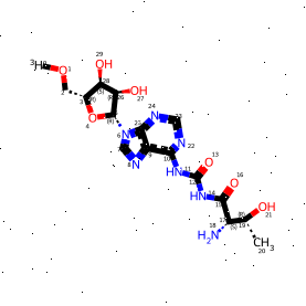 [3H]OC[C@H]1O[C@@H](n2cnc3c(NC(=O)NC(=O)[C@@H](N)[C@@H](C)O)ncnc32)[C@H](O)[C@@H]1O